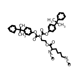 CC(C)(c1ccccc1)c1ccc(OC(=O)N(CCOC(=O)C(CCCCN=C=O)N=C=O)C(=O)Oc2ccc(C(C)(C)c3ccccc3)cc2)cc1